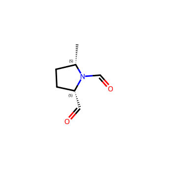 C[C@H]1CC[C@@H](C=O)N1C=O